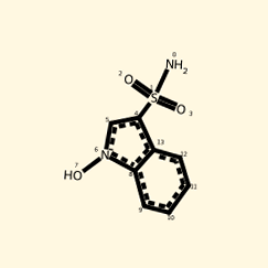 NS(=O)(=O)c1cn(O)c2ccccc12